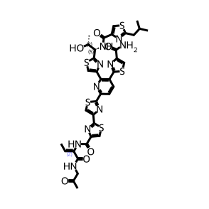 C/C=C(\NC(=O)c1csc(-c2csc(-c3ccc(-c4nc(C(N)=O)cs4)c(-c4csc([C@@H](NC(=O)c5csc(CC(C)C)n5)[C@@H](C)O)n4)n3)n2)n1)C(=O)NCC(C)=O